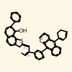 C/C=C(\C=C1/Cc2ccc3ccc(-c4ccccc4)c(O)c3c2S1)c1cccc(-c2c3ccccc3c(C3=CC=CCC3)c3ccccc23)c1